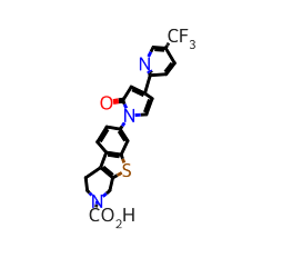 O=C(O)N1CCc2c(sc3cc(-n4ccc(-c5ccc(C(F)(F)F)cn5)cc4=O)ccc23)C1